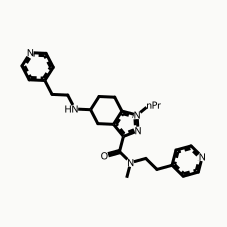 CCCn1nc(C(=O)N(C)CCc2ccncc2)c2c1CCC(NCCc1ccncc1)C2